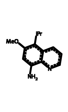 COc1cc(N)c2ncccc2c1C(C)C